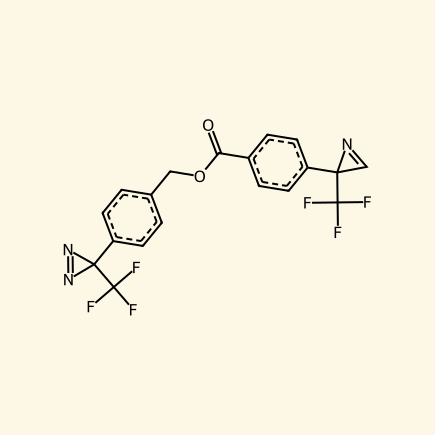 O=C(OCc1ccc(C2(C(F)(F)F)N=N2)cc1)c1ccc(C2(C(F)(F)F)C=N2)cc1